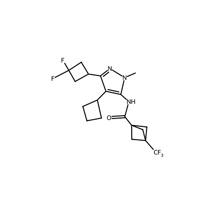 Cn1nc(C2CC(F)(F)C2)c(C2CCC2)c1NC(=O)C12CC(C(F)(F)F)(C1)C2